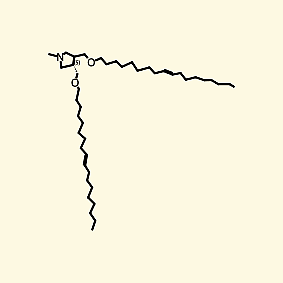 CCCCCCCCC=CCCCCCCCCOCC1CN(C)C[C@H]1COCCCCCCCCC=CCCCCCCCC